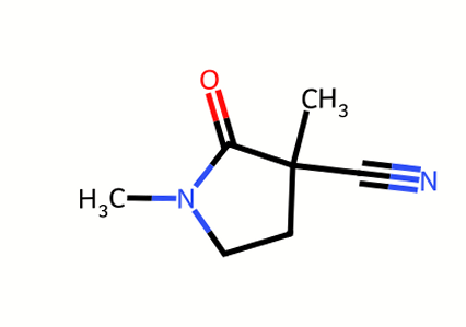 CN1CCC(C)(C#N)C1=O